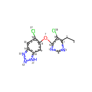 CCc1ncnc(Oc2cc3[nH]nnc3cc2Cl)c1Cl